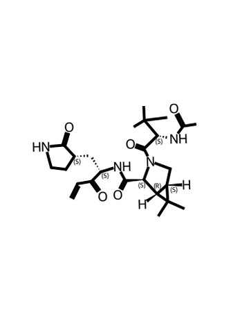 C=CC(=O)[C@H](C[C@@H]1CCNC1=O)NC(=O)[C@@H]1[C@@H]2[C@H](CN1C(=O)[C@@H](NC(C)=O)C(C)(C)C)C2(C)C